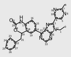 CCn1c(-c2cnc(C)nc2)nc2c(-c3ccc4c(c3)C(Cc3ccccc3)OC(=O)N4)ncnc21